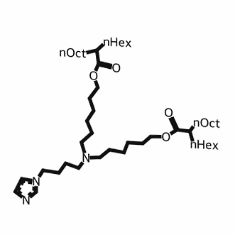 CCCCCCCCC(CCCCCC)C(=O)OCCCCCCN(CCCCCCOC(=O)C(CCCCCC)CCCCCCCC)CCCCn1ccnc1